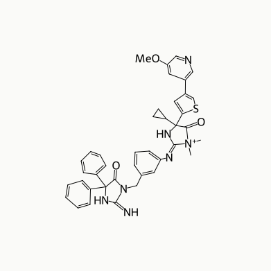 COc1cncc(-c2csc(C3(C4CC4)NC(=Nc4cccc(CN5C(=N)NC(c6ccccc6)(c6ccccc6)C5=O)c4)[N+](C)(C)C3=O)c2)c1